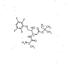 C[C@H](N)C(=O)N[C@H](CC(=O)OC(C)(C)C)C(O)COc1c(F)c(F)cc(F)c1F